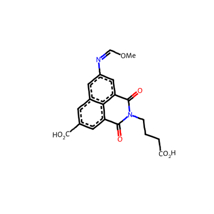 CO/C=N\c1cc2c3c(cc(C(=O)O)cc3c1)C(=O)N(CCCC(=O)O)C2=O